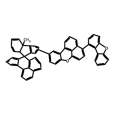 CC12C=CC=CC1C1(c3ccccc3-c3cccc4cccc1c34)c1cc(-c3ccc4c(c3)-c3cccc5c(-c6cccc7oc8ccccc8c67)ccc(c35)O4)ccc12